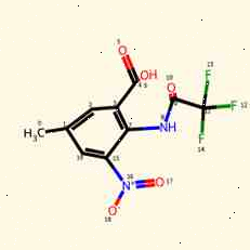 Cc1cc(C(=O)O)c(NC(=O)C(F)(F)F)c([N+](=O)[O-])c1